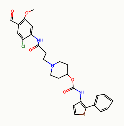 COc1cc(NC(=O)CCN2CCC(OC(=O)Nc3ccsc3-c3ccccc3)CC2)c(Cl)cc1C=O